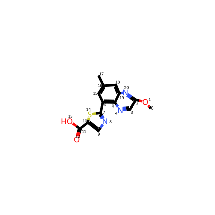 COc1cnc2c(-c3ncc(C(=O)O)s3)cc(C)cc2n1